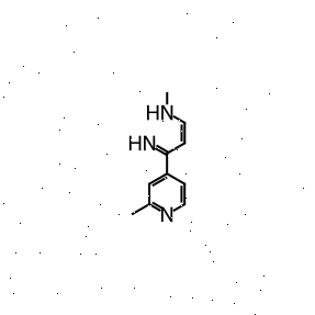 CN/C=C\C(=N)c1ccnc(C)c1